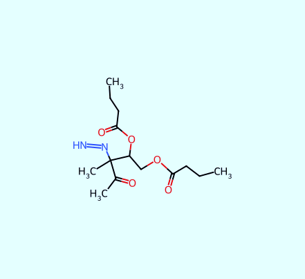 CCCC(=O)OCC(OC(=O)CCC)C(C)(N=N)C(C)=O